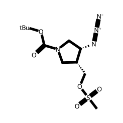 CC(C)(C)OC(=O)N1C[C@@H](COS(C)(=O)=O)[C@@H](N=[N+]=[N-])C1